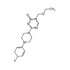 CCOCn1cnc(N2CCN(C3=CCC(F)C=C3)CC2)nc1=O